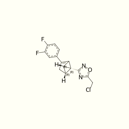 Fc1ccc(C2=C3[C@H]4[C@@H](C2)[C@]34c2noc(CCl)n2)cc1F